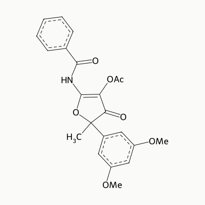 COc1cc(OC)cc(C2(C)OC(NC(=O)c3ccccc3)=C(OC(C)=O)C2=O)c1